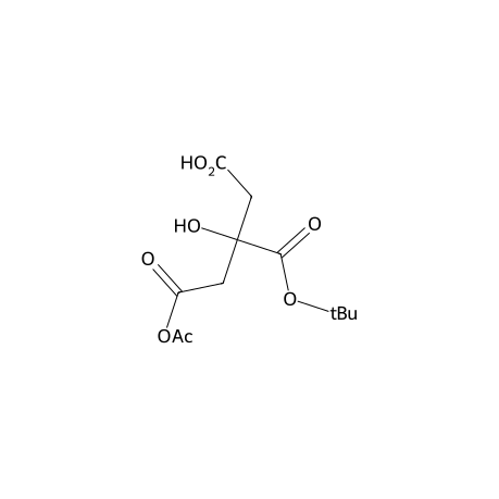 CC(=O)OC(=O)CC(O)(CC(=O)O)C(=O)OC(C)(C)C